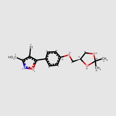 CCc1c(C(=O)O)noc1-c1ccc(OC[C@H]2COC(C)(C)O2)cc1